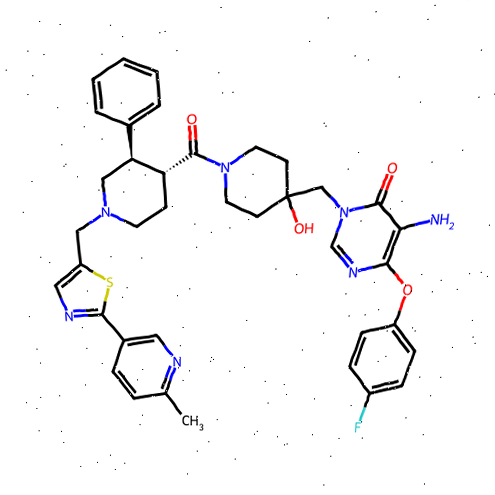 Cc1ccc(-c2ncc(CN3CC[C@@H](C(=O)N4CCC(O)(Cn5cnc(Oc6ccc(F)cc6)c(N)c5=O)CC4)[C@H](c4ccccc4)C3)s2)cn1